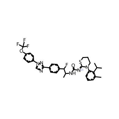 Cc1cccc(N2CCCS/C2=N\C(=O)NC(C)C(F)c2ccc(-c3ncn(-c4ccc(OC(F)(F)F)cc4)n3)cc2)c1C(C)C